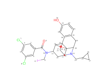 O=C(c1cc(Cl)cc(Cl)c1)N(CI)C1CCC23OCC1C21CCN(CC2CC2)C3Cc2ccc(O)cc21